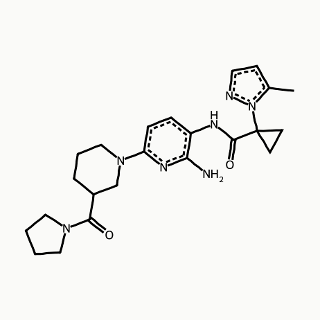 Cc1ccnn1C1(C(=O)Nc2ccc(N3CCCC(C(=O)N4CCCC4)C3)nc2N)CC1